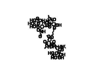 C=C1C[C@H]2C(O)N(C(=O)OCc3ccc(O[C@@H]4O[C@H](C(=O)O)[C@@H](O)[C@H](O)[C@H]4O)c(C(=O)NCCOC)c3)c3cc(OCCCCCOc4cc5c(cc4OC)C(=O)N4CC(=C)C[C@H]4C(O)N5C(=O)OCc4ccc(O[C@@H]5O[C@H](C(=O)O)[C@@H](O)[C@H](O)[C@H]5O)c(C(=O)NC(C)C)c4)c(O)cc3C(=O)N2C1